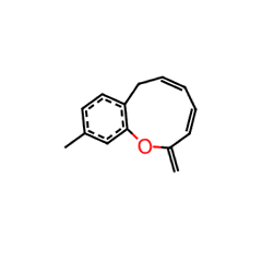 C=C1/C=C\C=C/Cc2ccc(C)cc2O1